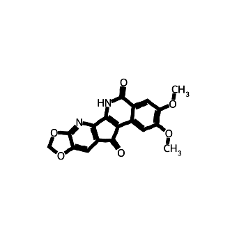 COc1cc2c3c([nH]c(=O)c2cc1OC)-c1nc2c(cc1C3=O)OCO2